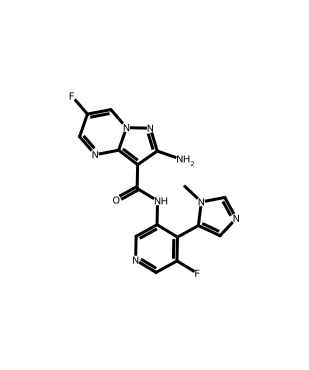 Cn1cncc1-c1c(F)cncc1NC(=O)c1c(N)nn2cc(F)cnc12